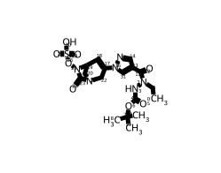 CCN(NC(=O)OC(C)(C)C)C(=O)c1cnn(C2=CC3CN(C2)C(=O)N3OS(=O)(=O)O)c1